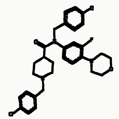 O=C(C1CCN(Cc2ccc(Cl)cc2)CC1)N(Cc1ccc(Cl)cc1)c1ccc(N2CCOCC2)c(F)c1